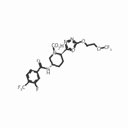 O=C(N[C@H]1CC[C@H](c2nnc(OCCOC(F)(F)F)o2)N(C(=O)O)C1)c1ccc(C(F)(F)F)c(F)c1